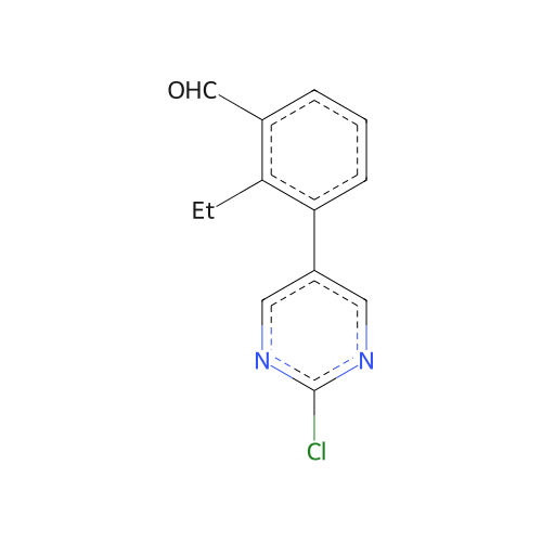 CCc1c(C=O)cccc1-c1cnc(Cl)nc1